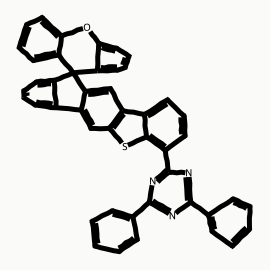 c1ccc(-c2nc(-c3ccccc3)nc(-c3cccc4c3sc3cc5c(cc34)C3(c4ccccc4Oc4ccccc43)c3ccccc3-5)n2)cc1